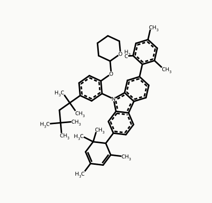 CC1=CC(C)(C)C(c2ccc3c4ccc(-c5c(C)cc(C)cc5C)cc4n(-c4cc(C(C)(C)CC(C)(C)C)ccc4OC4CCCCO4)c3c2)C(C)=C1